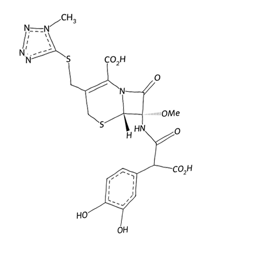 CO[C@@]1(NC(=O)C(C(=O)O)c2ccc(O)c(O)c2)C(=O)N2C(C(=O)O)=C(CSc3nnnn3C)CS[C@H]21